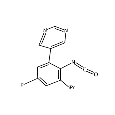 CC(C)c1cc(F)cc(-c2cncnc2)c1N=C=O